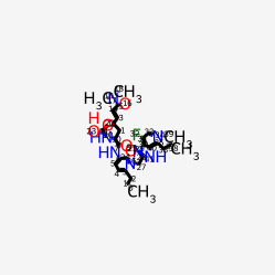 CCCc1ccc(NC(=O)C(CCC=CC(=O)N(C)C)NC(=O)O)c(=O)n1Cc1nc2c(F)cnc(CC(C)C)c2[nH]1